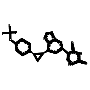 O=c1[nH]cc(-c2cc([C@H]3C[C@@H]3c3ccc(OC(F)(F)F)cc3)c3nccn3n2)c(=O)[nH]1